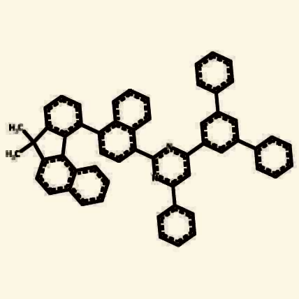 CC1(C)c2cccc(-c3ccc(-c4nc(-c5ccccc5)cc(-c5cc(-c6ccccc6)cc(-c6ccccc6)c5)n4)c4ccccc34)c2-c2c1ccc1ccccc21